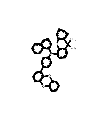 CC1(C)c2ccccc2Oc2c(N(c3ccc(-c4cccc5c4Oc4ccccc4O5)cc3)c3cccc4ccccc34)cccc21